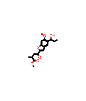 CCC(O)c1cc2cc(C(=O)CC(C)C(=O)OC)sc2cc1OC